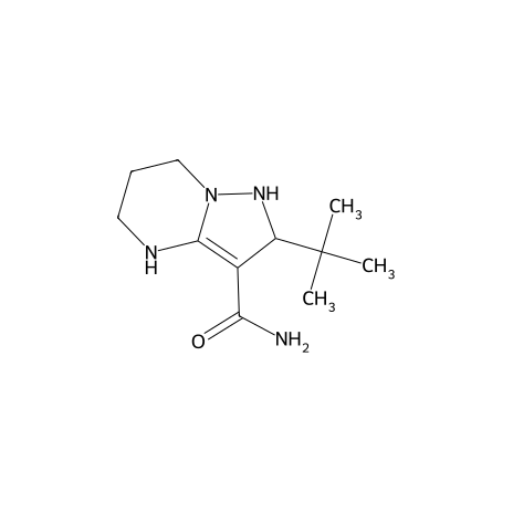 CC(C)(C)C1NN2CCCNC2=C1C(N)=O